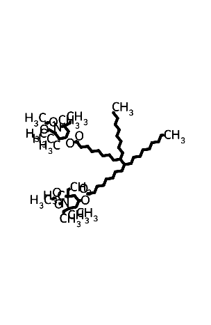 CCCCCCCCCC(CCCCCCCC(=O)OC1CC(C)(CC)N(OC(C)=O)C(C)(CC)C1C)C(CCCCCCCCC)CCCCCCCC(=O)OC1CC(C)(CC)N(OC(C)=O)C(C)(CC)C1C